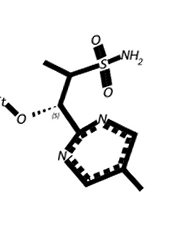 CCO[C@@H](c1ncc(C)cn1)C(C)S(N)(=O)=O